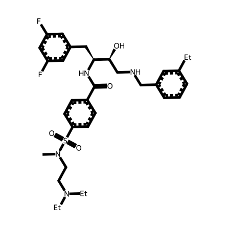 CCc1cccc(CNC[C@H](O)[C@H](Cc2cc(F)cc(F)c2)NC(=O)c2ccc(S(=O)(=O)N(C)CCN(CC)CC)cc2)c1